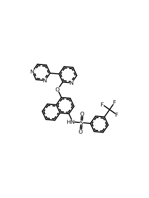 O=S(=O)(Nc1ccc(Oc2ncccc2-c2ccncn2)c2ccccc12)c1cccc(C(F)(F)F)c1